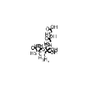 CCC(CO)(CO)CO.CCC(O)=S.O=C(O)CS.O=C(O)CS.O=C(O)CS